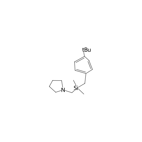 CC(C)(C)c1ccc(C[Si](C)(C)CN2CCCC2)cc1